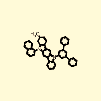 CC1C=Cc2c(n(-c3cccc4ccccc34)c3cc4c5ccccc5n(-c5cc(-c6ccccc6)cc(-c6ccccc6)c5)c4cc23)C1